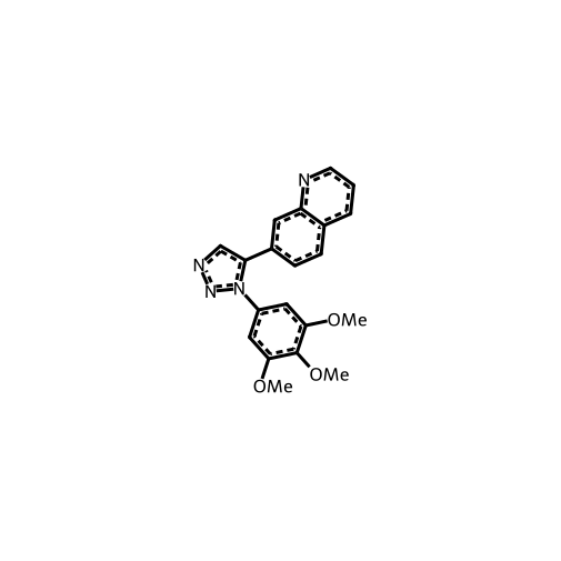 COc1cc(-n2nncc2-c2ccc3cccnc3c2)cc(OC)c1OC